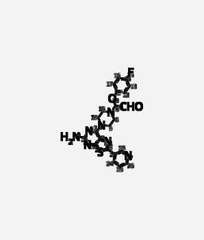 Nc1nc(N2CCN(C(C=O)Oc3ccc(F)cc3)CC2)c2nc(-c3cccnc3)sc2n1